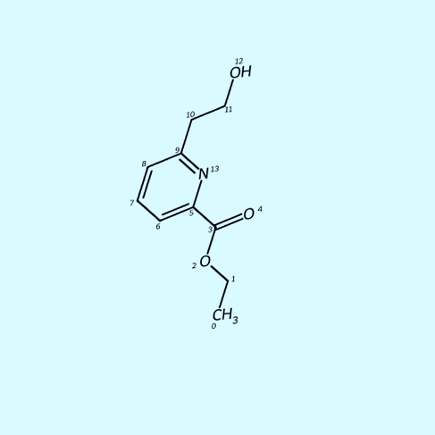 CCOC(=O)c1cccc(CCO)n1